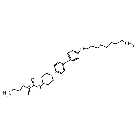 CCCCCCCCCOc1ccc(-c2ccc([C@H]3CC[C@H](OC(=O)[C@@H](F)CCCC)CC3)cc2)cc1